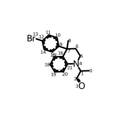 CC(C=O)N1CCC(C)(c2ccc(Br)cc2)c2ccccc21